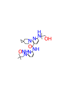 CC1(C)CONN(c2cccc(NC(=O)c3ccc(NC(C)(C)CO)nc3N3CCC4(CC3)CC4)n2)C1